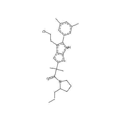 CCCC1CCCN1C(=O)C(C)(C)c1cc2c(CCCl)c(-c3cc(C)cc(C)c3)[nH]c2s1